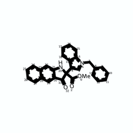 COC(=O)C1(c2cn(Cc3ccccc3)c3ccccc23)Nc2cc3ccccc3cc2C1=O